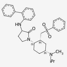 CC(C)N(C)[C@@H]1CC[C@H](N2CCC(Nc3ccccc3-c3ccccc3)C2=O)[C@H](CS(=O)(=O)c2ccccc2)C1